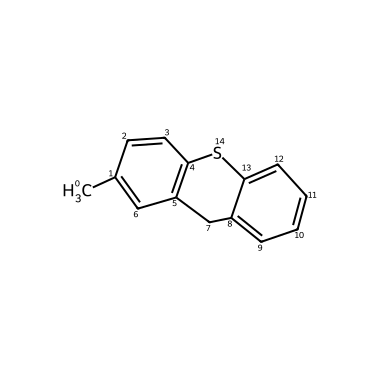 Cc1ccc2c(c1)Cc1ccccc1S2